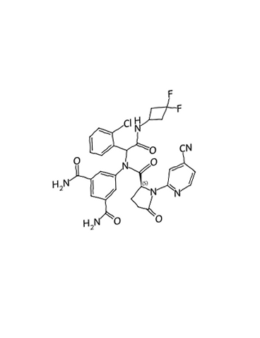 N#Cc1ccnc(N2C(=O)CC[C@H]2C(=O)N(c2cc(C(N)=O)cc(C(N)=O)c2)C(C(=O)NC2CC(F)(F)C2)c2ccccc2Cl)c1